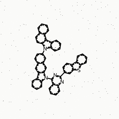 c1ccc2c(c1)ccc1c2c2ccccc2n1-c1ccc2cc3c4ccccc4n(-c4nc(-c5ccc6c(c5)sc5ccccc56)nc5ccccc45)c3cc2c1